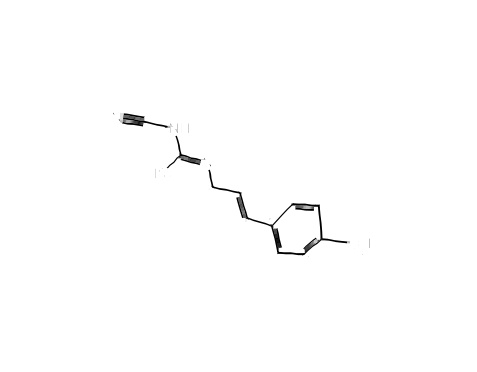 N#CN/C(S)=N/C/C=C/c1ccc(O)cc1